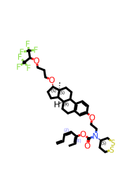 C=C/C=C\C(=C/C)OC(=O)N(CCOc1ccc2c(c1)CC[C@@H]1C2CC[C@@]2(C)C1CC[C@@H]2OCCCOC(C(F)(F)F)C(F)(F)F)[C@H]1CCSSC1